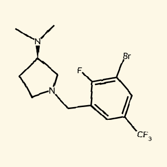 CN(C)[C@@H]1CCN(Cc2cc(C(F)(F)F)cc(Br)c2F)C1